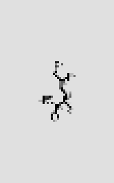 CC(=CCC(F)CF)C(=O)O